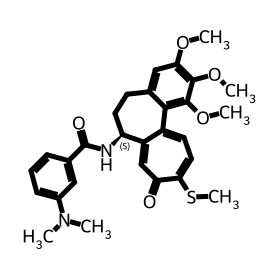 COc1cc2c(c(OC)c1OC)-c1ccc(SC)c(=O)cc1[C@@H](NC(=O)c1cccc(N(C)C)c1)CC2